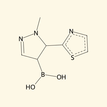 CN1N=CC(B(O)O)C1c1nccs1